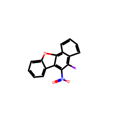 O=[N+]([O-])c1c(I)c2ccccc2c2oc3ccccc3c12